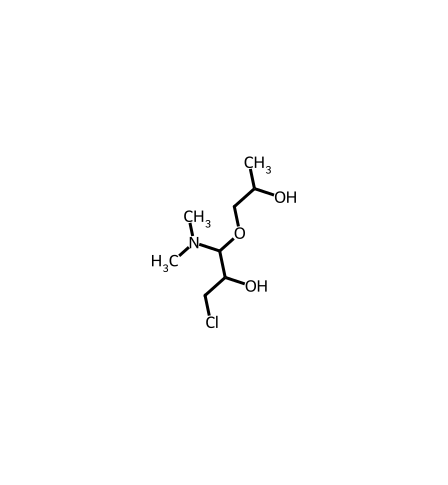 CC(O)COC(C(O)CCl)N(C)C